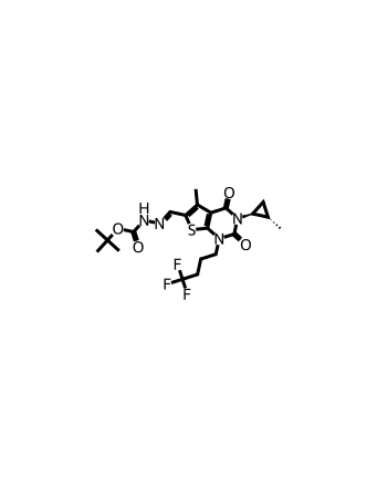 Cc1c(/C=N/NC(=O)OC(C)(C)C)sc2c1c(=O)n([C@H]1C[C@@H]1C)c(=O)n2CCCC(F)(F)F